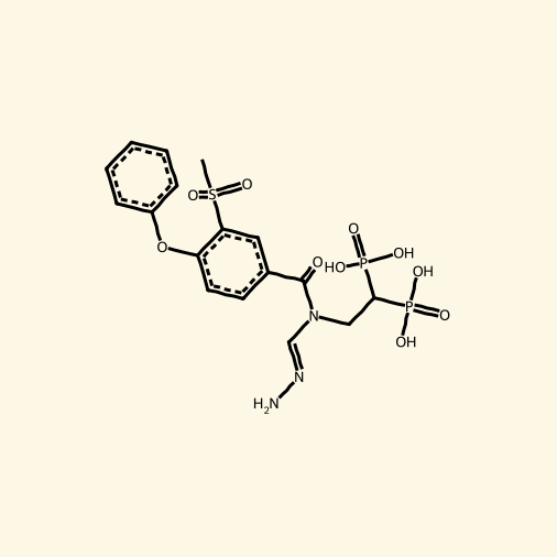 CS(=O)(=O)c1cc(C(=O)N(C=NN)CC(P(=O)(O)O)P(=O)(O)O)ccc1Oc1ccccc1